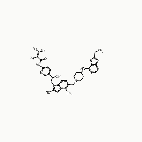 [2H]C([2H])=C([2H])C(=O)Nc1ccc(C(O)Cn2c(C#N)cc3c(C)c(CN4CCC(Nc5ncnc6sc(CC(F)(F)F)cc56)CC4)ccc32)cn1